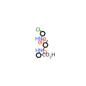 Cc1ccc(C(=O)Nc2ccccc2C(=O)O)cc1S(=O)(=O)Nc1cccc(Cl)c1